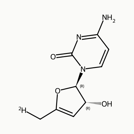 [2H]CC1=C[C@@H](O)[C@H](n2ccc(N)nc2=O)O1